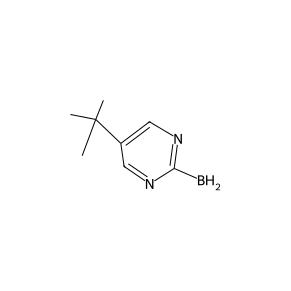 Bc1ncc(C(C)(C)C)cn1